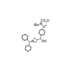 C[C@@H](c1ccc(C(O)C2CN(C(c3ccccc3)c3ccccc3)C2)cc1)N(C(=O)O)C(C)(C)C